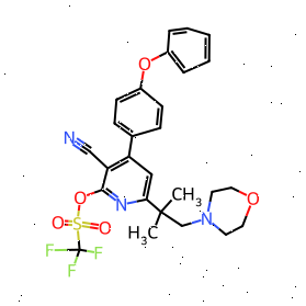 CC(C)(CN1CCOCC1)c1cc(-c2ccc(Oc3ccccc3)cc2)c(C#N)c(OS(=O)(=O)C(F)(F)F)n1